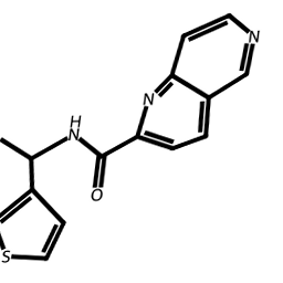 CC(NC(=O)c1ccc2cnccc2n1)c1ccsc1